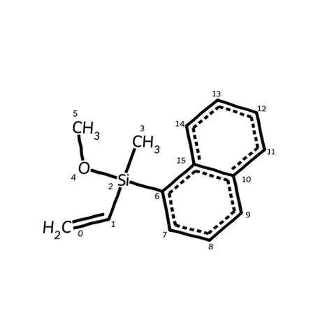 C=C[Si](C)(OC)c1cccc2ccccc12